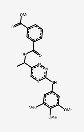 COC(=O)c1cccc(C(=O)NC(C)c2cnc(Nc3cc(OC)c(OC)c(OC)c3)nn2)c1